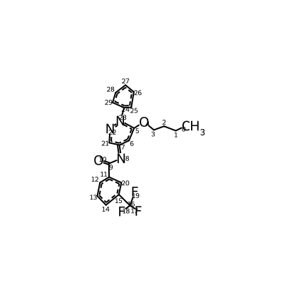 CCCCOc1cc(=NC(=O)c2cccc(C(F)(F)F)c2)cnn1-c1ccccc1